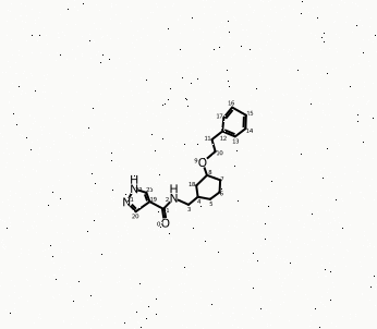 O=C(NCC1CCCC(OCCc2ccccc2)C1)c1cn[nH]c1